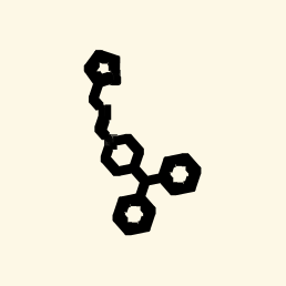 C(=NCc1cccs1)N1CCC(C(c2ccccc2)c2ccccc2)CC1